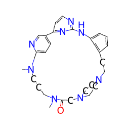 CN1CCCN(C)c2ccc(cn2)-c2ccnc(n2)Nc2cccc(c2)CCN2CCN(CC2)CC1=O